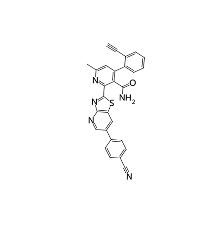 C#Cc1ccccc1-c1cc(C)nc(-c2nc3ncc(-c4ccc(C#N)cc4)cc3s2)c1C(N)=O